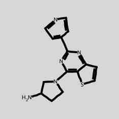 NC1CCN(c2nc(-c3ccncc3)nc3ccsc23)C1